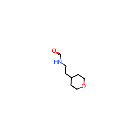 O=CNCCC1CCOCC1